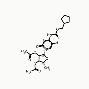 CC(=O)OC1C(OC(C)=O)[C@@H](C)O[C@H]1n1cc(I)c(NC(=O)OCC2CCCC2)nc1=O